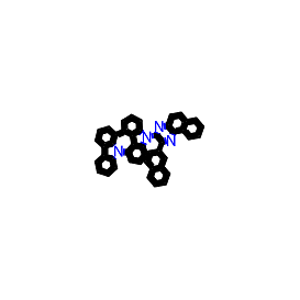 c1ccc2cc(-c3nc4c(ccc5ccccc54)nc3-n3c4cccc5c6cccc7c8ccccc8n(c8cccc3c8c54)c67)ccc2c1